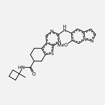 COc1cn2nccc2cc1Nc1ncc2c3c(sc2n1)CC(C(=O)NC1(C)CCC1)CC3